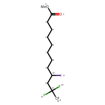 COC(=O)CCCCCCCC(I)CC(F)(F)C(F)(F)F